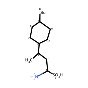 CC(CC(N)S(=O)(=O)O)C1CCC(C(C)(C)C)CC1